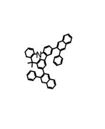 CC1(C)C2=C(C=CCC2)n2c3ccc(-c4cc5ccccc5cc4-c4ccccc4)cc3c3cc(C4=C(c5ccccc5)CC5C=CC=CC5=C4)cc1c32